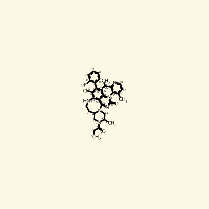 C=CC(=O)N1CC2CCNc3c(Cl)c(-c4ccccc4F)c(F)c4c3c(nc(=O)n4-c3c(C)ccnc3C(C)C)N2CC1C